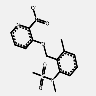 Cc1cccc(N(C)S(C)(=O)=O)c1COc1cccnc1[N+](=O)[O-]